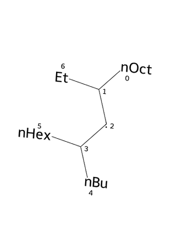 CCCCCCCCC([CH]C(CCCC)CCCCCC)CC